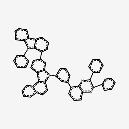 c1ccc(-c2nc3cccc(-c4cccc(-n5c6cc(-c7cccc8c9ccccc9n(-c9ccccc9)c78)ccc6c6c7ccccc7ccc65)c4)c3nc2-c2ccccc2)cc1